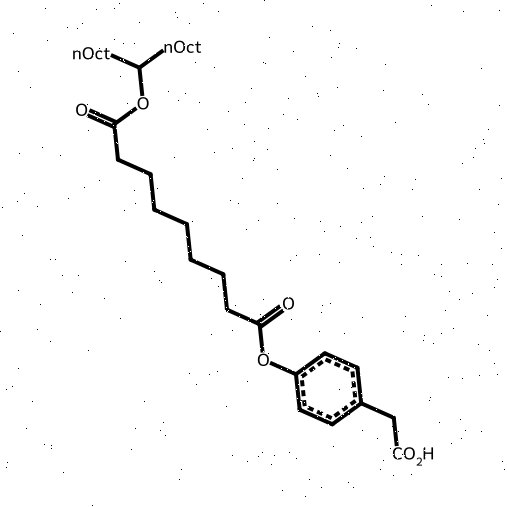 CCCCCCCCC(CCCCCCCC)OC(=O)CCCCCCCC(=O)Oc1ccc(CC(=O)O)cc1